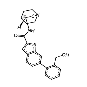 O=C(N[C@H]1CN2CCC1CC2)c1cc2ccc(-c3ccccc3CO)cc2s1